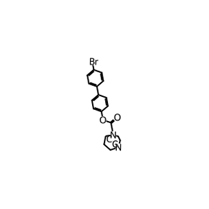 O=C(Oc1ccc(-c2ccc(Br)cc2)cc1)N1CCN2CCC1CC2